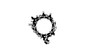 C/C=C/C[C@@H](C)[C@@H](O)[C@H]1C(=O)N[C@@H](CC)C(=O)N(C)[C@H](C)C(=O)N(C)[C@@H]([C@H](C)CCN2CCOC[C@@H]2C)C(=O)N[C@@H](C(C)C)C(=O)N(C)[C@@H](CC(C)C)C(=O)N[C@@H](C)C(=O)N[C@H](C)C(=O)N(C)[C@@H](CC(C)C)C(=O)N(C)[C@@H](CC(C)C)C(=O)N(C)[C@@H](C(C)C)C(=O)N1C